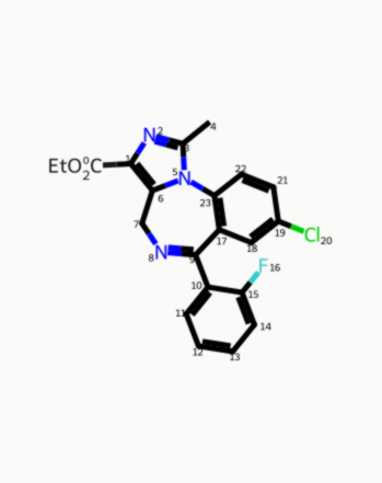 CCOC(=O)c1nc(C)n2c1CN=C(c1ccccc1F)c1cc(Cl)ccc1-2